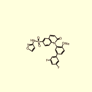 COc1ccc(-c2cc(F)cc(F)c2)cc1-n1c(=O)ccc2cc(S(=O)(=O)Nc3ccon3)ccc21